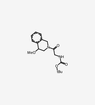 COC1CN(C(=O)CNC(=O)OC(C)(C)C)Cc2ccccc21